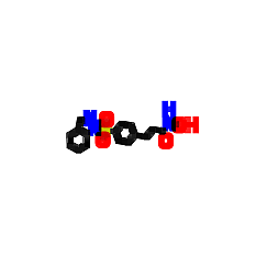 O=C(/C=C/c1ccc(S(=O)(=O)n2ncc3ccccc32)cc1)NO